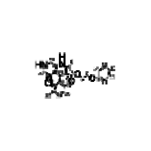 CC1=C(C(=O)OCCOc2ccccc2)C(c2c(F)ccc(C)c2Cl)C2=C(CNCC2=O)N1